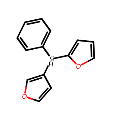 c1ccc([SiH](c2ccoc2)c2ccco2)cc1